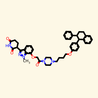 Cn1nc(C2CCC(=O)NC2=O)c2cccc(OCC(=O)N3CCN(CCCCOc4ccc(C5c6ccccc6CCC5c5ccccc5)cc4)CC3)c21